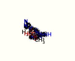 C[C@@H]1CN(c2ccc(C#N)c3ncccc23)C[C@H](CN2CCN(c3cc(CC(C)(C)OC(=O)N4CCCC4C(=O)O)nc(N4CCNCC4)n3)CC2)O1